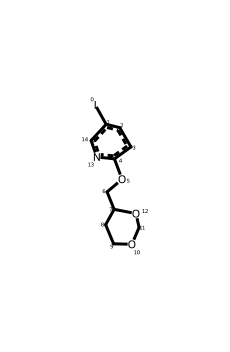 Ic1ccc(OCC2CCOCO2)nc1